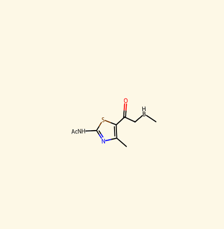 CBCC(=O)c1sc(NC(C)=O)nc1C